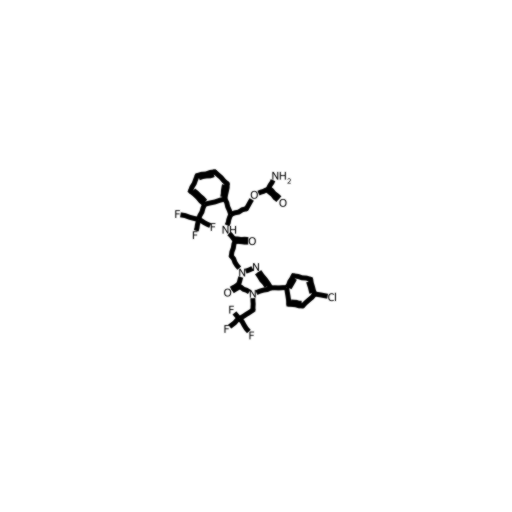 NC(=O)OCC(NC(=O)Cn1nc(-c2ccc(Cl)cc2)n(CC(F)(F)F)c1=O)c1ccccc1C(F)(F)F